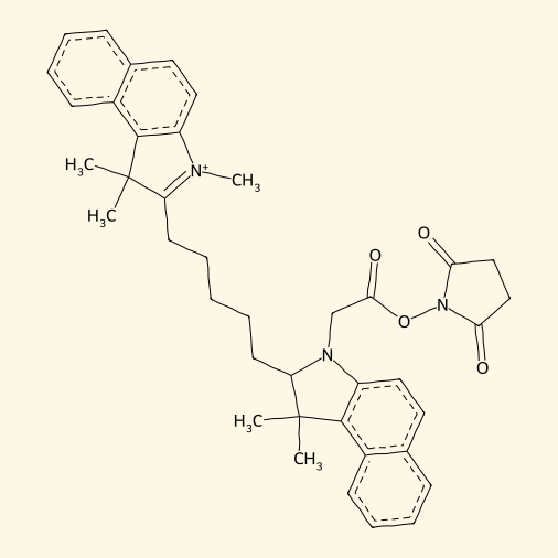 C[N+]1=C(CCCCCC2N(CC(=O)ON3C(=O)CCC3=O)c3ccc4ccccc4c3C2(C)C)C(C)(C)c2c1ccc1ccccc21